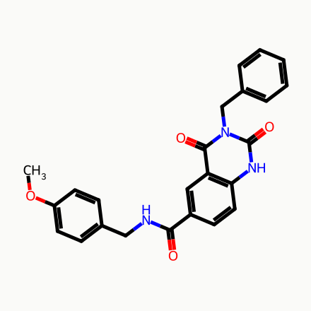 COc1ccc(CNC(=O)c2ccc3[nH]c(=O)n(Cc4ccccc4)c(=O)c3c2)cc1